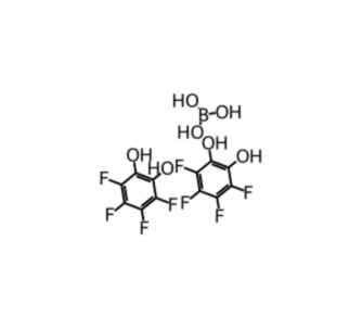 OB(O)O.Oc1c(O)c(F)c(F)c(F)c1F.Oc1c(O)c(F)c(F)c(F)c1F